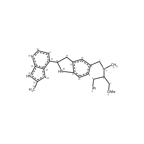 COCC(CC(C)C)N(C)Cc1ccc2c(c1)CC(c1ccnc3[nH]c(C)nc13)N2